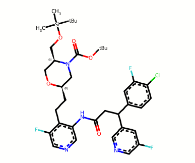 CC(C)(C)OC(=O)N1C[C@@H](CCc2c(F)cncc2NC(=O)CC(c2cncc(F)c2)c2ccc(Cl)c(F)c2)OC[C@H]1CO[Si](C)(C)C(C)(C)C